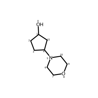 OC1CCC(N2CCOCC2)C1